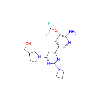 Nc1ncc(-c2cc(N3CCC(CO)C3)nc(N3CCC3)n2)cc1OC(F)F